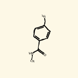 [2H]c1ccc(C(=O)NC#N)cc1